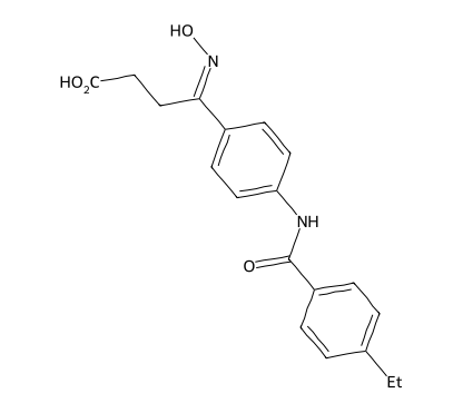 CCc1ccc(C(=O)Nc2ccc(/C(CCC(=O)O)=N/O)cc2)cc1